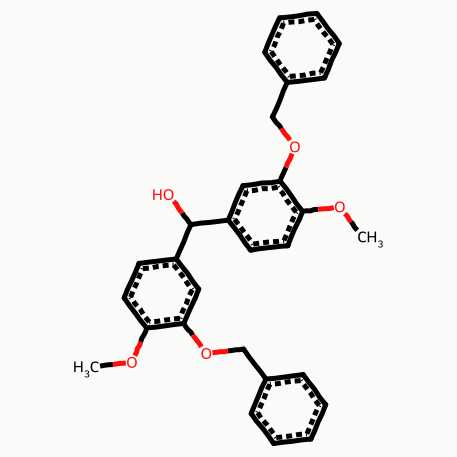 COc1ccc(C(O)c2ccc(OC)c(OCc3ccccc3)c2)cc1OCc1ccccc1